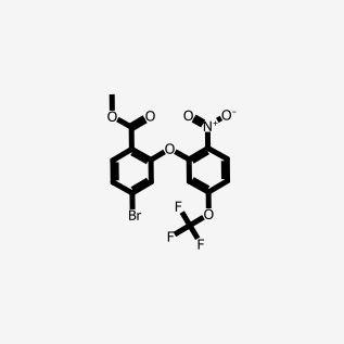 COC(=O)c1ccc(Br)cc1Oc1cc(OC(F)(F)F)ccc1[N+](=O)[O-]